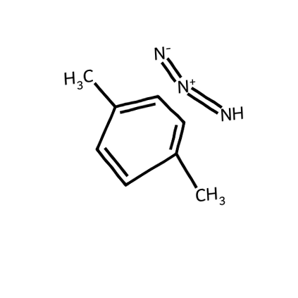 Cc1ccc(C)cc1.[N-]=[N+]=N